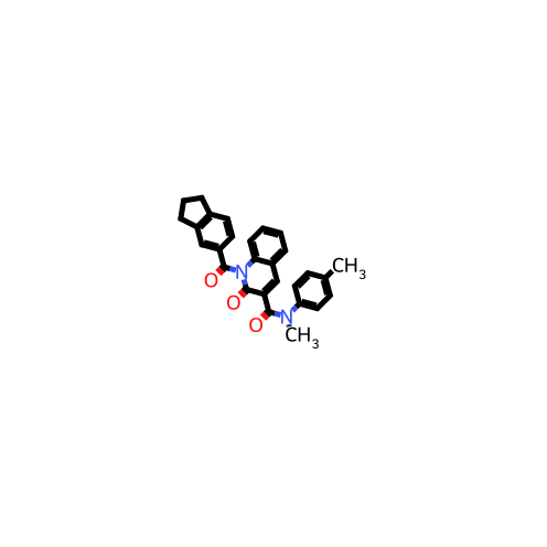 Cc1ccc(N(C)C(=O)c2cc3ccccc3n(C(=O)c3ccc4c(c3)CCC4)c2=O)cc1